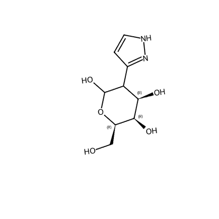 OC[C@H]1OC(O)C(c2cc[nH]n2)[C@@H](O)[C@H]1O